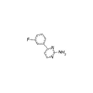 Nc1nccc(-c2cccc(F)c2)n1